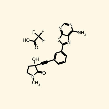 CN1CC[C@@](O)(C#Cc2cccc(-c3nc4c(N)ncnc4s3)c2)C1=O.O=C(O)C(F)(F)F